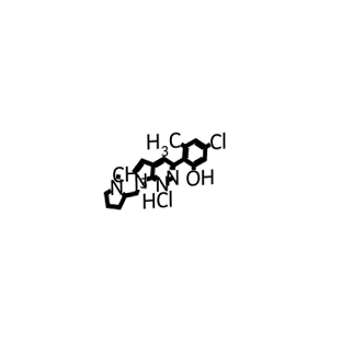 Cc1cc(Cl)cc(O)c1-c1cc2ccn(CC3CCCN3C)c2nn1.Cl